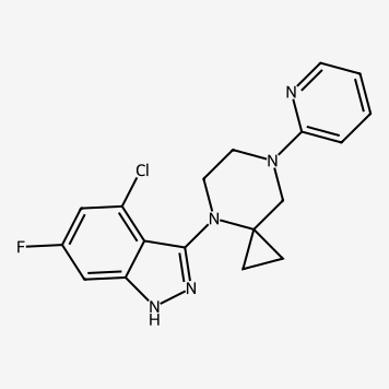 Fc1cc(Cl)c2c(N3CCN(c4ccccn4)CC34CC4)n[nH]c2c1